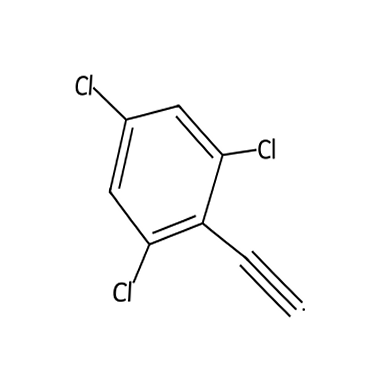 [C]#Cc1c(Cl)cc(Cl)cc1Cl